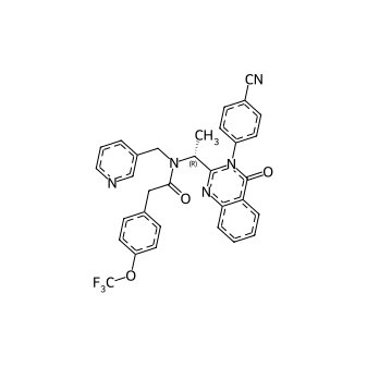 C[C@H](c1nc2ccccc2c(=O)n1-c1ccc(C#N)cc1)N(Cc1cccnc1)C(=O)Cc1ccc(OC(F)(F)F)cc1